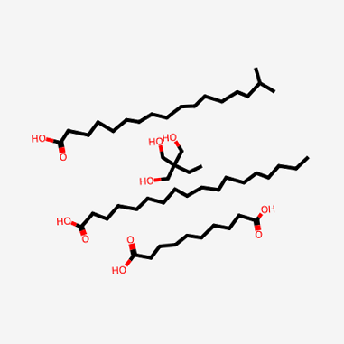 CC(C)CCCCCCCCCCCCCCC(=O)O.CCC(CO)(CO)CO.CCCCCCCCCCCCCCCCCC(=O)O.O=C(O)CCCCCCCCC(=O)O